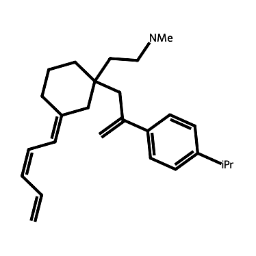 C=C/C=C\C=C1/CCCC(CCNC)(CC(=C)c2ccc(C(C)C)cc2)C1